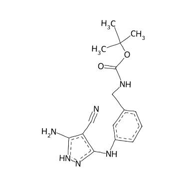 CC(C)(C)OC(=O)NCc1cccc(Nc2n[nH]c(N)c2C#N)c1